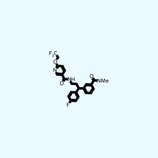 CNC(=O)c1cccc(C(CCNC(=O)c2ccc(OCC(F)(F)F)nc2)c2ccc(F)cc2)c1